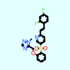 Cn1ncnc1COc1ccccc1S(=O)(=O)c1ccc(/C=C/c2ccc(F)cc2F)nc1